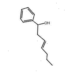 CCC/C=C/CC(O)c1ccccc1